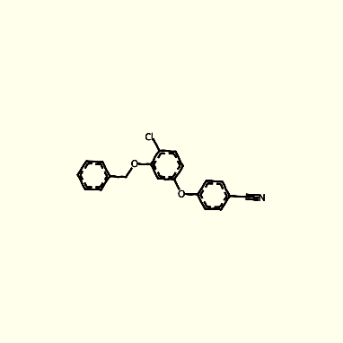 N#Cc1ccc(Oc2ccc(Cl)c(OCc3ccccc3)c2)cc1